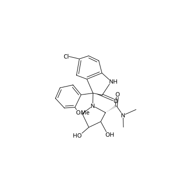 COc1ccccc1C1(N2CC(O)C(O)[C@H]2C(=O)N(C)C)C(=O)Nc2ccc(Cl)cc21